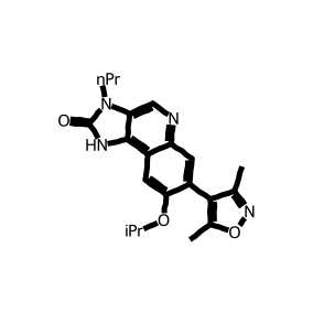 CCCn1c(=O)[nH]c2c3cc(OC(C)C)c(-c4c(C)noc4C)cc3ncc21